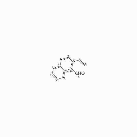 [CH]=Cc1ccc2ccccc2c1C=O